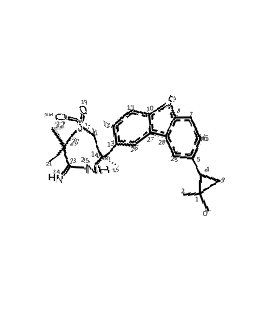 CC1(C)CC1c1ccc2sc3ccc([C@]4(C)CS(=O)(=O)C(C)(C)C(=N)N4)cc3c2c1